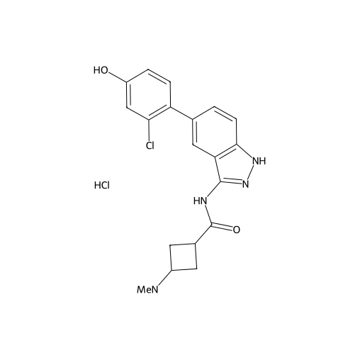 CNC1CC(C(=O)Nc2n[nH]c3ccc(-c4ccc(O)cc4Cl)cc23)C1.Cl